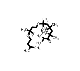 CC(C)CCOC(C)(C)CCOC(C)(C)CC(C)(C)CC(C)(C)C(=O)C(C)C